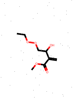 C=C(C(=O)OC)C(O)COOCC